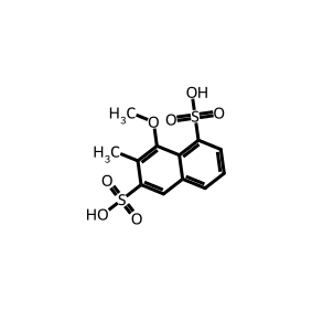 COc1c(C)c(S(=O)(=O)O)cc2cccc(S(=O)(=O)O)c12